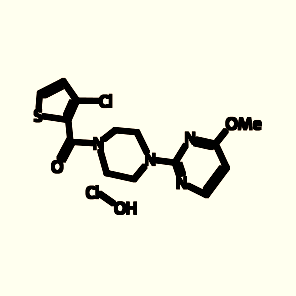 COc1ccnc(N2CCN(C(=O)c3sccc3Cl)CC2)n1.OCl